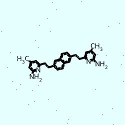 Cc1cc(N)nc(CCc2ccc3cc(CCc4cc(C)cc(N)n4)ccc3c2)c1